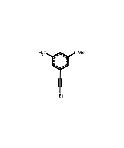 CCC#Cc1cc(C)cc(OC)c1